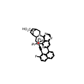 CC(C)[Si](C#Cc1c(F)ccc2cccc(-c3cc4ncnc5c4c(n3)OCC3C4CCC(CN53)N4C(=O)O)c12)(C(C)C)C(C)C